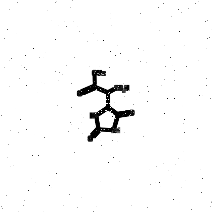 COC(=O)C(C(=O)O)C1NC(=O)NC1=O